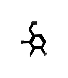 OCc1ccc(F)c(I)c1F